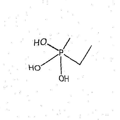 CCP(C)(O)(O)O